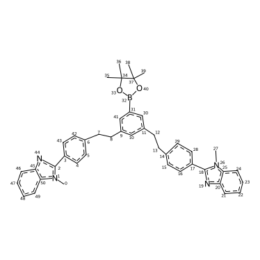 Cn1c(-c2ccc(CCc3cc(CCc4ccc(-c5nc6ccccc6n5C)cc4)cc(B4OC(C)(C)C(C)(C)O4)c3)cc2)nc2ccccc21